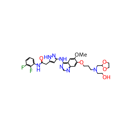 COc1cc2c(Nc3cc(CC(=O)Nc4cccc(F)c4F)[nH]n3)ncnc2cc1OCCCN(CCO)CC1OCCO1